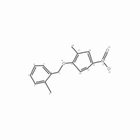 Cc1ccccc1COc1ccc([N+](=O)[O-])cc1C